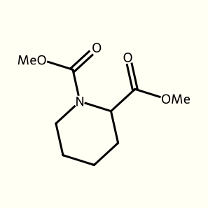 COC(=O)C1CCCCN1C(=O)OC